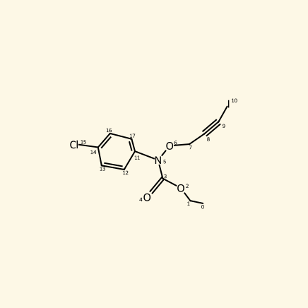 CCOC(=O)N(OCC#CI)c1ccc(Cl)cc1